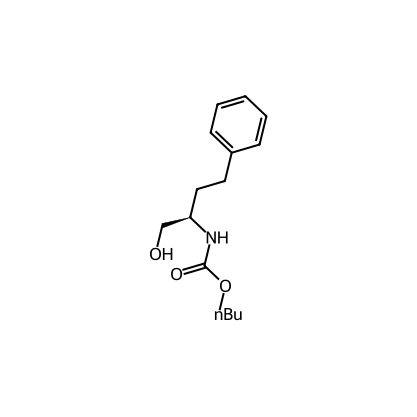 CCCCOC(=O)N[C@@H](CO)CCc1ccccc1